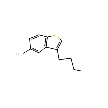 Bc1ccc2scc(CCCC(=O)O)c2c1